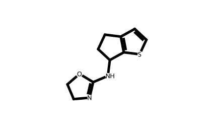 c1cc2c(s1)C(NC1=NCCO1)CC2